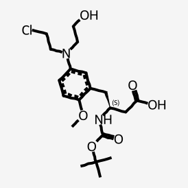 COc1ccc(N(CCO)CCCl)cc1C[C@@H](CC(=O)O)NC(=O)OC(C)(C)C